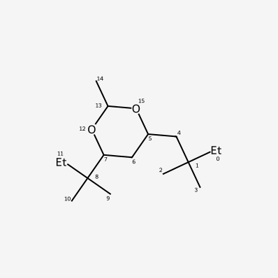 CCC(C)(C)CC1CC(C(C)(C)CC)OC(C)O1